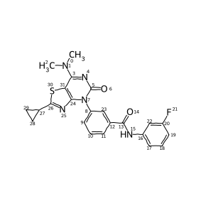 CN(C)c1nc(=O)n(-c2cccc(C(=O)Nc3cccc(F)c3)c2)c2nc(C3CC3)sc12